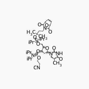 [C-]#[N+]CCOP(O[C@@H]1C[C@H](n2cc(C)c(=O)[nH]c2=O)O[C@@H]1CO[Si](OC(C)(C)CCN1C(=O)C2C=CC(O2)C1=O)(C(C)C)C(C)C)N(C(C)C)C(C)C